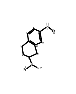 CCCN(CCC)C1CCc2ccc(NCC)cc2C1